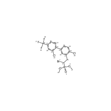 COP(=O)(OC)C(Br)Cc1cc(-c2ncc(C(F)(F)F)cc2Cl)ccc1Cl